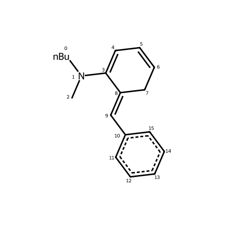 CCCCN(C)C1=CC=CCC1=Cc1ccccc1